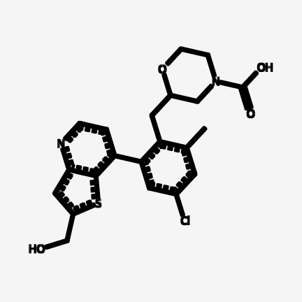 Cc1cc(Cl)cc(-c2ccnc3cc(CO)sc23)c1CC1CN(C(=O)O)CCO1